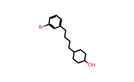 OC1CCC(CCCCc2cccc(Br)c2)CC1